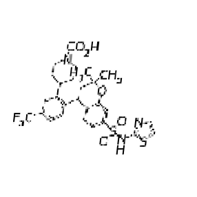 CC1(C)CC(c2ccc(C(F)(F)F)cc2C2CCN(C(=O)O)CC2)c2ccc(S(=O)(=O)Nc3nccs3)cc2O1